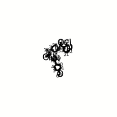 COc1ccc(-c2cn(C(=O)N(C)C3CCN(C(=O)c4cccnc4Cl)CC3)cn2)cc1